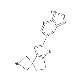 c1cc2cc(-c3cc4n(n3)CCC43CNC3)cnc2[nH]1